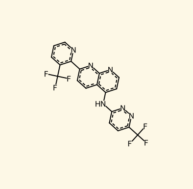 FC(F)(F)c1ccc(Nc2ccnc3nc(-c4ncccc4C(F)(F)F)ccc23)nn1